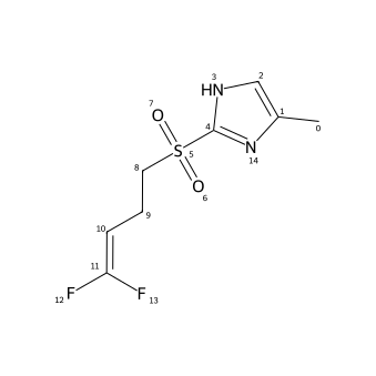 Cc1c[nH]c(S(=O)(=O)CCC=C(F)F)n1